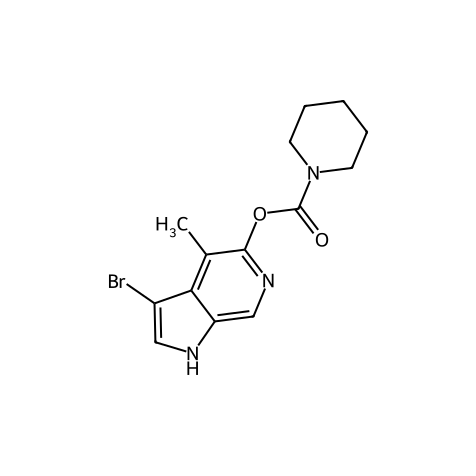 Cc1c(OC(=O)N2CCCCC2)ncc2[nH]cc(Br)c12